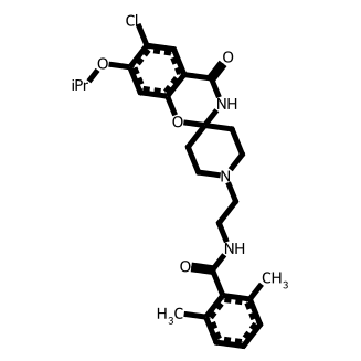 Cc1cccc(C)c1C(=O)NCCN1CCC2(CC1)NC(=O)c1cc(Cl)c(OC(C)C)cc1O2